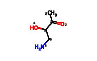 CC(=O)[C@H](O)CN